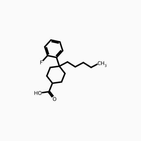 CCCCCC1(c2ccccc2F)CCC(C(=O)O)CC1